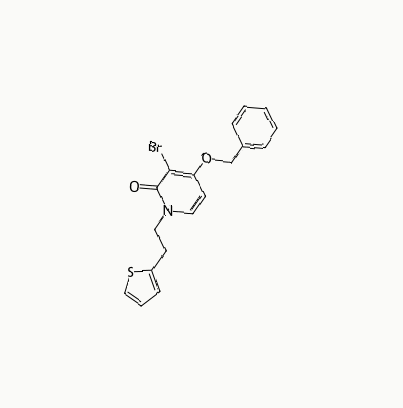 O=c1c(Br)c(OCc2ccccc2)ccn1CCc1cccs1